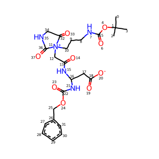 CC(C)(C)OC(=O)NCCC[N+]1(CC(=O)NC(CC(=O)[O-])NC(=O)OCc2ccccc2)C(=O)CNC1=O